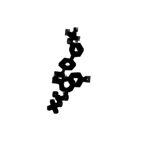 CC(C)(C)OC(=O)ON1Cc2cc(Cl)ccc2-n2c(nnc2[C@H]2CC[C@H](c3cccc(OC(F)(F)F)c3)CC2)C1